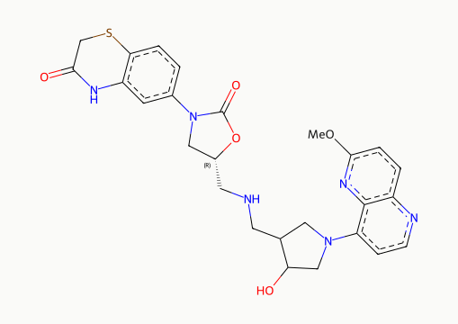 COc1ccc2nccc(N3CC(O)C(CNC[C@@H]4CN(c5ccc6c(c5)NC(=O)CS6)C(=O)O4)C3)c2n1